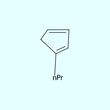 [CH2]CCC1=CC=CC1